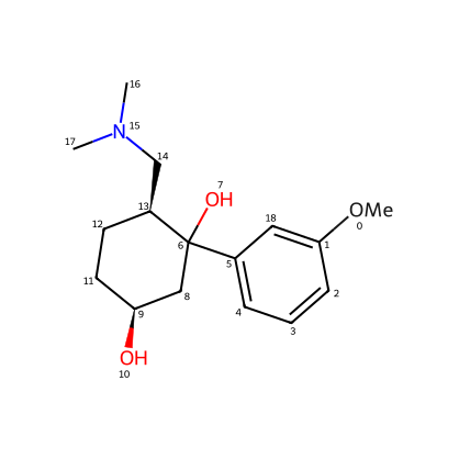 COc1cccc(C2(O)C[C@@H](O)CC[C@H]2CN(C)C)c1